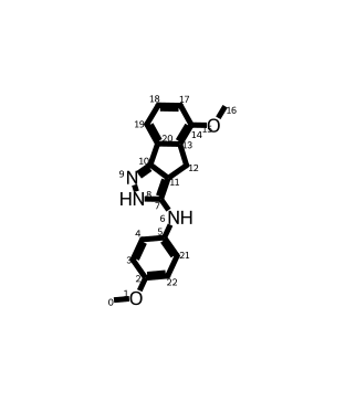 COc1ccc(Nc2[nH]nc3c2Cc2c(OC)cccc2-3)cc1